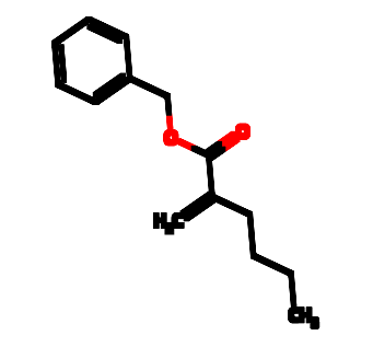 C=C(CCCC)C(=O)OCc1ccccc1